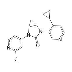 O=C1N(c2ccnc(Cl)c2)C2CC2N1c1cnccc1C1CC1